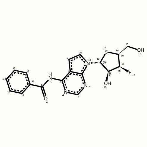 O=C(Nc1ncnc2c1ccn2[C@@H]1S[C@H](CO)[C@@H](F)[C@H]1O)c1ccccc1